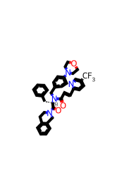 O=C([C@H](Cc1ccccc1)N(Cc1ccc(N2CCOCC2)cc1)C(=O)C=Cc1ccc(C(F)(F)F)cn1)N1CCc2ccccc2C1